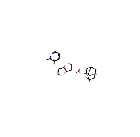 Cc1ncccc1O[C@H]1CO[C@H]2[C@@H]1OC[C@@H]2NC(=O)NC12C[C@@H]3C[C@@H](CC(O)(C3)C1)C2